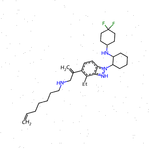 C=CCCCCCNCC(=C)c1ccc2c([nH]n2C2CCCCC2NC2CCC(F)(F)CC2)c1CC